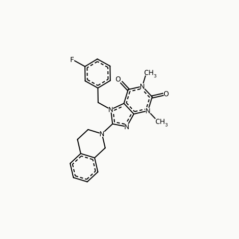 Cn1c(=O)c2c(nc(N3CCc4ccccc4C3)n2Cc2cccc(F)c2)n(C)c1=O